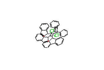 [Cl][Zr]([Cl])([CH]1C=Cc2ccccc21)([CH]1C=Cc2ccccc21)([CH]1c2ccccc2-c2ccccc21)[SiH](c1ccccc1)c1ccccc1